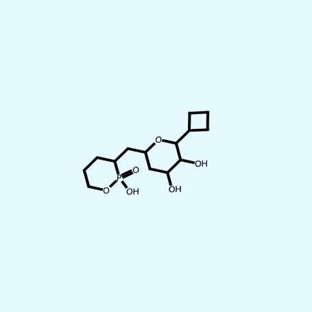 O=P1(O)OCCCC1CC1CC(O)C(O)C(C2CCC2)O1